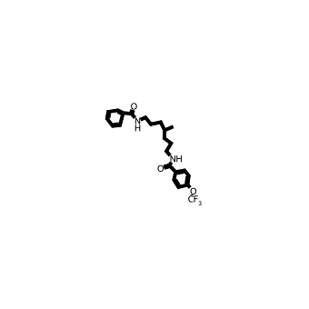 CC(CCCNC(=O)c1ccccc1)CCCNC(=O)c1ccc(OC(F)(F)F)cc1